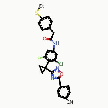 CCSc1ccc(CC(=O)Nc2cc(F)c(C3(c4noc(-c5ccc(C#N)cc5)n4)CC3)c(Cl)c2)cc1